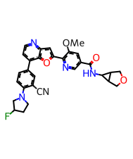 COc1cc(C(=O)NC2C3COCC32)cnc1-c1cc2nccc(-c3ccc(N4CCC(F)C4)c(C#N)c3)c2o1